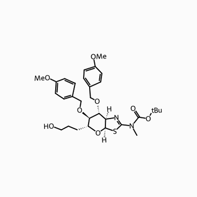 COc1ccc(CO[C@@H]2[C@H]3N=C(N(C)C(=O)OC(C)(C)C)S[C@H]3O[C@H](CCCO)[C@H]2OCc2ccc(OC)cc2)cc1